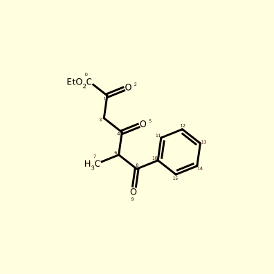 CCOC(=O)C(=O)CC(=O)C(C)C(=O)c1ccccc1